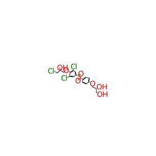 O=S(=O)(c1ccc(OCC(O)CO)cc1)c1cc(Cl)c(OCC(O)CCl)c(Cl)c1